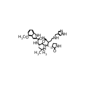 COc1cccc2[nH]c(C(=O)N[C@@H](CC(C)C)C(=O)N[C@@H](C[C@@H]3CCNC3=O)C(C#N)CCNCc3cn[nH]c3)cc12